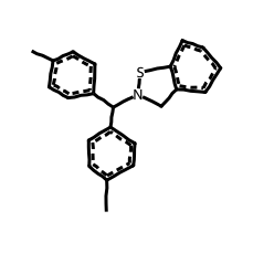 Cc1ccc(C(c2ccc(C)cc2)N2Cc3ccccc3S2)cc1